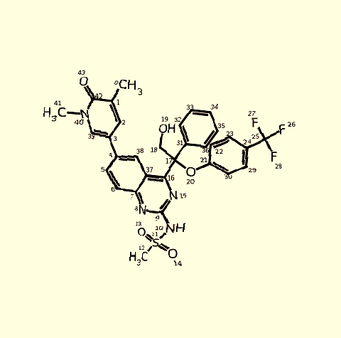 Cc1cc(-c2ccc3nc(NS(C)(=O)=O)nc(C(CO)(Oc4ccc(C(F)(F)F)cc4)c4ccccc4)c3c2)cn(C)c1=O